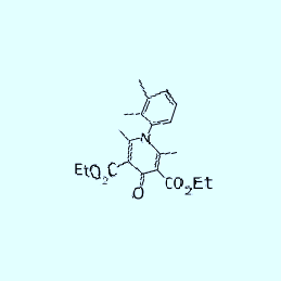 CCOC(=O)c1c(C)n(-c2cccc(C)c2C)c(C)c(C(=O)OCC)c1=O